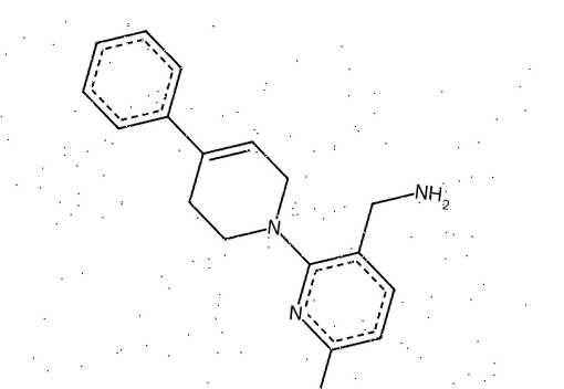 NCc1ccc(C(F)(F)F)nc1N1CC=C(c2ccccc2)CC1